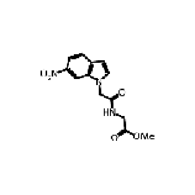 COC(=O)CNC(=O)Cn1ccc2ccc([N+](=O)[O-])cc21